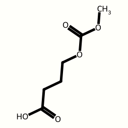 COC(=O)OCCCC(=O)O